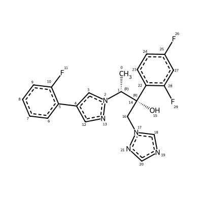 C[C@@H](n1cc(-c2ccccc2F)cn1)[C@](O)(Cn1cncn1)c1ccc(F)cc1F